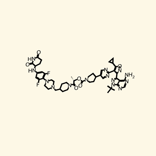 C[C@H](OC(=O)N1CCC(c2cnc(-c3c(-c4nn(C(C)(C)C)c5ncnc(N)c45)noc3C3CC3)nc2)CC1)C(=O)N1CCC(CN2CCN(c3c(F)cc(NC4CCC(=O)NC4=O)cc3F)CC2)CC1